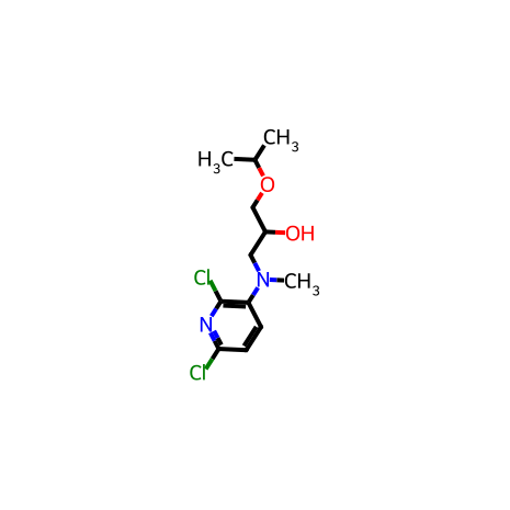 CC(C)OCC(O)CN(C)c1ccc(Cl)nc1Cl